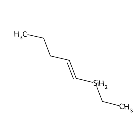 CCCC=C[SiH2]CC